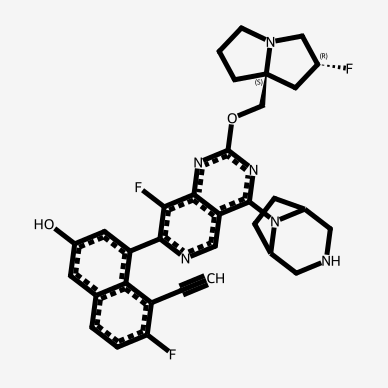 C#Cc1c(F)ccc2cc(O)cc(-c3ncc4c(N5C6CCC5CNC6)nc(OC[C@@]56CCCN5C[C@H](F)C6)nc4c3F)c12